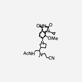 COc1c(N2CCC(C(CNC(C)=O)N(C)CCC#N)C2)ccc2c(=O)[nH]c(=O)n(C3CC3)c12